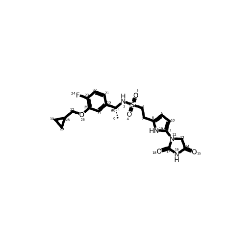 C[C@@H](NS(=O)(=O)CCc1ccc(N2CC(=O)NC2=O)[nH]1)c1ccc(F)c(OCC2CC2)c1